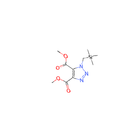 COC(=O)c1nnn(C[Si](C)(C)C)c1C(=O)OC